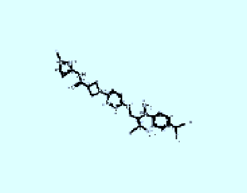 C/C(N)=C(\COc1ccc(N2CC(C(=O)Nc3ccn(C)n3)C2)nn1)N(N)c1ccc(C(F)F)cc1